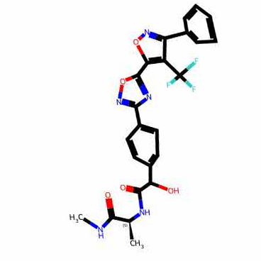 CNC(=O)[C@H](C)NC(=O)C(O)c1ccc(-c2noc(-c3onc(-c4ccccc4)c3C(F)(F)F)n2)cc1